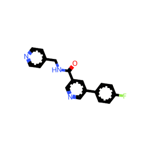 O=C(NCc1ccncc1)c1cncc(-c2ccc(F)cc2)c1